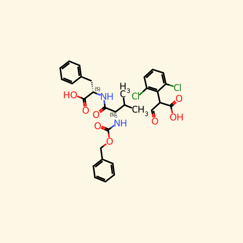 CC(C)[C@H](NC(=O)OCc1ccccc1)C(=O)N[C@@H](Cc1ccccc1)C(=O)O.O=CC(C(=O)O)c1c(Cl)cccc1Cl